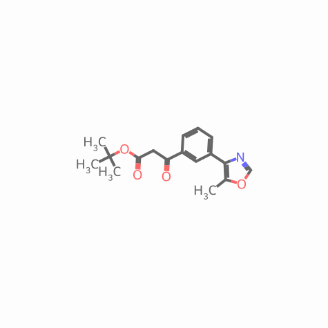 Cc1ocnc1-c1cccc(C(=O)CC(=O)OC(C)(C)C)c1